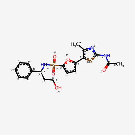 CC(=O)Nc1nc(C)c(-c2ccc(S(=O)(=O)N[C@@H](CCO)c3ccccc3)o2)s1